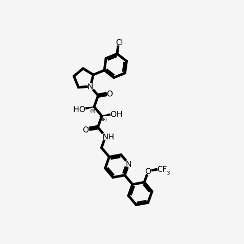 O=C(NCc1ccc(-c2ccccc2OC(F)(F)F)nc1)[C@H](O)[C@@H](O)C(=O)N1CCCC1c1cccc(Cl)c1